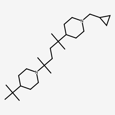 CC(C)(C)C1CCN(C(C)(C)CCC(C)(C)C2CCN(CC3CC3)CC2)CC1